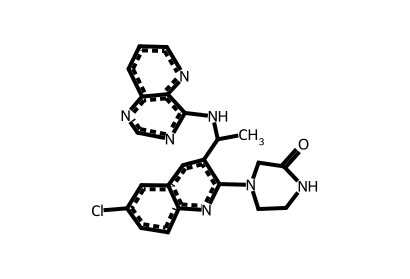 CC(Nc1ncnc2cccnc12)c1cc2cc(Cl)ccc2nc1N1CCNC(=O)C1